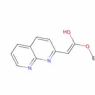 CCO/C(O)=C/c1ccc2cccnc2n1